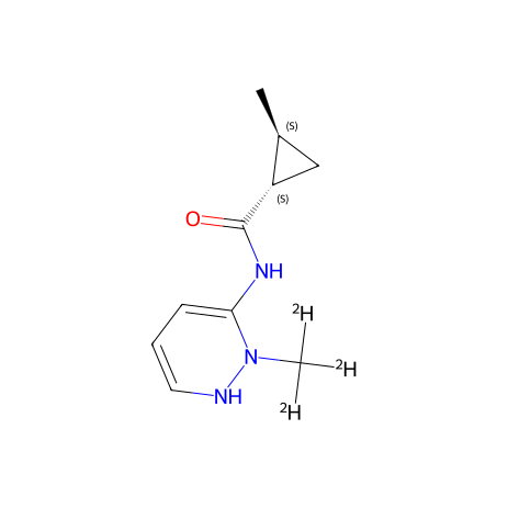 [2H]C([2H])([2H])N1NC=CC=C1NC(=O)[C@H]1C[C@@H]1C